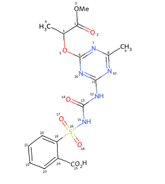 COC(=O)C(C)Oc1nc(C)nc(NC(=O)NS(=O)(=O)c2ccccc2C(=O)O)n1